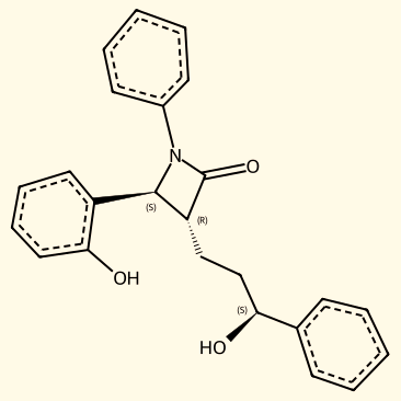 O=C1[C@H](CC[C@H](O)c2ccccc2)[C@@H](c2ccccc2O)N1c1ccccc1